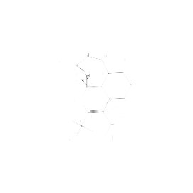 C[C@@H]1CC[C@H]2C(CO)=C(C(F)(F)F)O[C@@H]3O[C@]4(C)CCC1[C@]32OO4